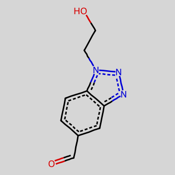 O=Cc1ccc2c(c1)nnn2CCO